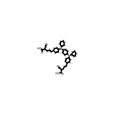 N#C/C(=C\C=C\c1ccc(N(c2ccccc2)c2ccc(N(C3=CCC(/C=C/C=C(\C#N)C(=O)O)C=C3)c3ccccc3)cc2)cc1)C(=O)O